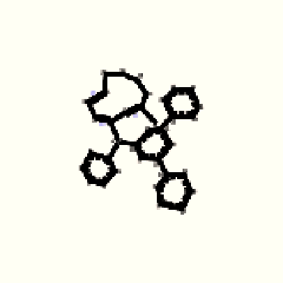 C\C1=C/C(N(c2ccccc2)c2cc(-c3ccccc3)cc(-c3ccccc3)c2)=C\C=C\CCCC1